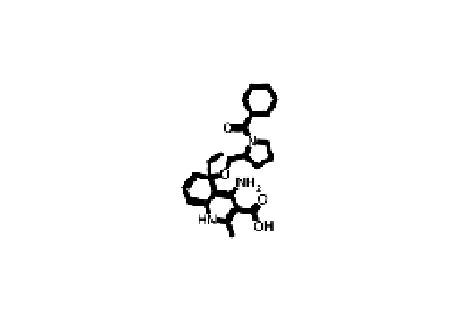 CCC1(OCC2CCCN2C(=O)C2CCCCC2)C=CC=C2NC(C)=C(C(=O)O)C(N)=C21